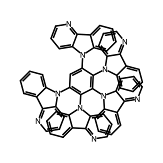 c1ccc2c(c1)c1ncccc1n2-c1cc(-n2c3ccccc3c3ncccc32)c(-n2c3ccccc3c3ncccc32)c(-n2c3ccccc3c3ncccc32)c1-n1c2ccccc2c2ncccc21